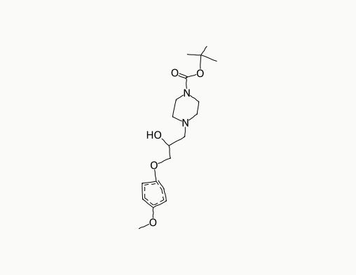 COc1ccc(OCC(O)CN2CCN(C(=O)OC(C)(C)C)CC2)cc1